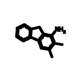 Cc1cc2c(c(N)c1C)Cc1ccccc1-2